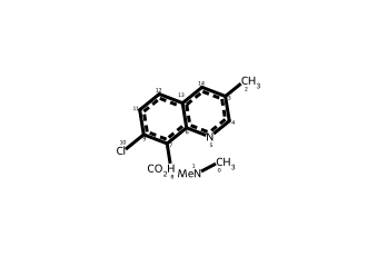 CNC.Cc1cnc2c(C(=O)O)c(Cl)ccc2c1